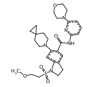 COCCS(=O)(=O)N1CCc2cc(C(=O)Nc3cccc(N4CCOCC4)n3)c(N3CCC4(CC3)CC4)cc21